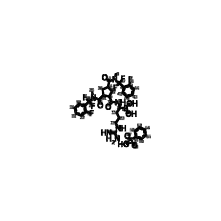 CN(C(=O)C1CC(C(=O)NC(CCCNC(=N)N)B(O)O)C(C(=O)N(C)C(F)(F)c2ccccc2F)C1)C(F)(F)c1ccccc1F.O=S(=O)(O)c1ccccc1